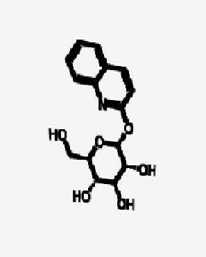 OC[C@H]1O[C@@H](Oc2ccc3ccccc3n2)[C@H](O)[C@@H](O)[C@@H]1O